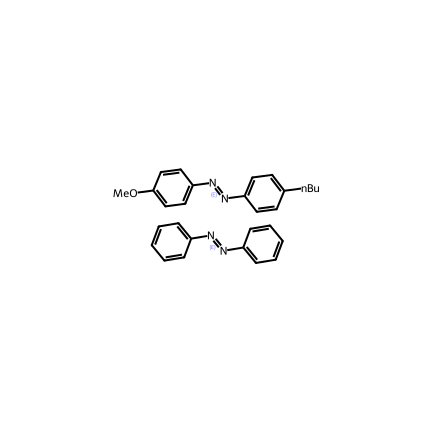 CCCCc1ccc(/N=N/c2ccc(OC)cc2)cc1.c1ccc(/N=N/c2ccccc2)cc1